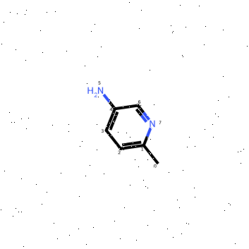 Cc1ccc(N)[c]n1